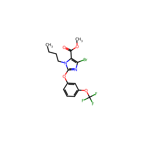 CCCCn1c(Oc2cccc(OC(F)(F)F)c2)nc(Br)c1C(=O)OC